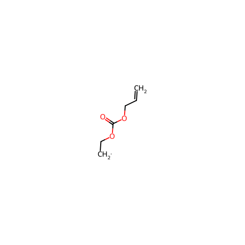 [CH2]COC(=O)OCC=C